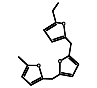 CCc1ccc(Cc2ccc(Cc3ccc(C)o3)o2)o1